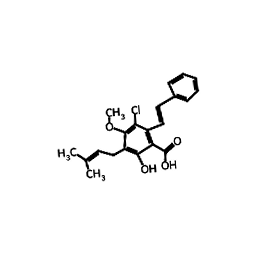 COc1c(Cl)c(/C=C/c2ccccc2)c(C(=O)O)c(O)c1CC=C(C)C